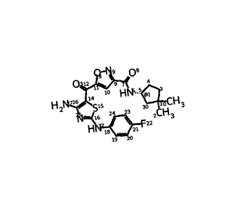 CC1(C)CC[C@@H](NC(=O)c2cc(C(=O)c3sc(Nc4ccc(F)cc4)nc3N)on2)C1